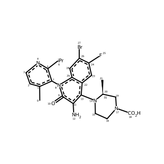 Cc1ccnc(C(C)C)c1-n1c(=O)c(N)c(N2CCN(C(=O)O)C[C@@H]2C)c2cc(F)c(Br)cc21